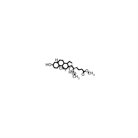 COO[C@H](CCCC(=O)OC)[C@H]1CCC2C3CC[C@H]4C[C@@H](O)CC[C@]4(C)C3CC[C@@]21C